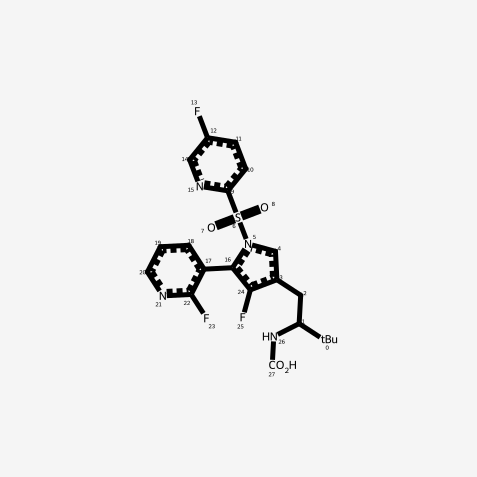 CC(C)(C)C(Cc1cn(S(=O)(=O)c2ccc(F)cn2)c(-c2cccnc2F)c1F)NC(=O)O